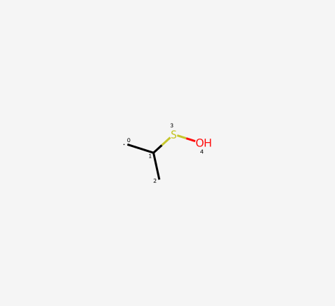 [CH2]C(C)SO